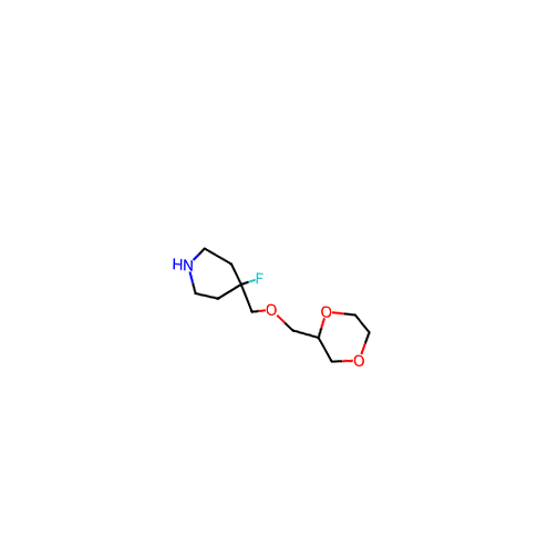 FC1(COCC2COCCO2)CCNCC1